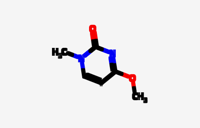 COc1[c]cn(C)c(=O)n1